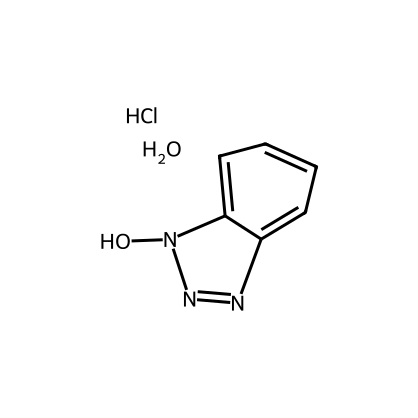 Cl.O.On1nnc2ccccc21